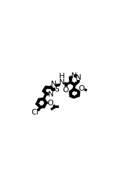 COc1ccccc1-c1cnncc1C(=O)Nc1nc2ccc(-c3ccc(Cl)cc3OC(C)C)nc2s1